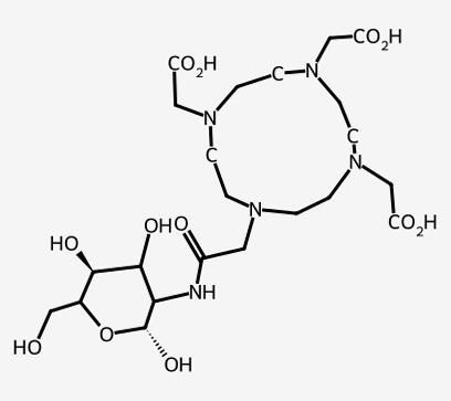 O=C(O)CN1CCN(CC(=O)O)CCN(CC(=O)NC2C(O)[C@H](O)C(CO)O[C@H]2O)CCN(CC(=O)O)CC1